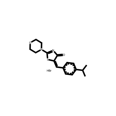 Br.CC(C)c1ccc(C=C2SC(N3CCOCC3)=NC2=O)cc1